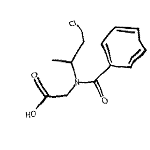 CC(CCl)N(CC(=O)O)C(=O)c1ccccc1